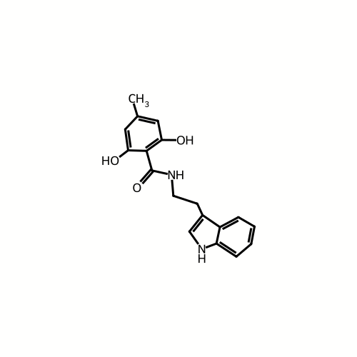 Cc1cc(O)c(C(=O)NCCc2c[nH]c3ccccc23)c(O)c1